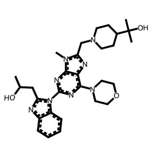 CC(O)Cc1nc2ccccc2n1-c1nc(N2CCOCC2)c2nc(CN3CCC(C(C)(C)O)CC3)n(C)c2n1